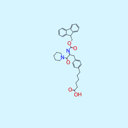 O=C(O)CCCCCc1ccc(C/C(=N\C(=O)OCC2c3ccccc3-c3ccccc32)C(=O)N2CCCCC2)cc1